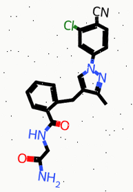 Cc1nn(-c2ccc(C#N)c(Cl)c2)cc1Cc1ccccc1C(=O)NCC(N)=O